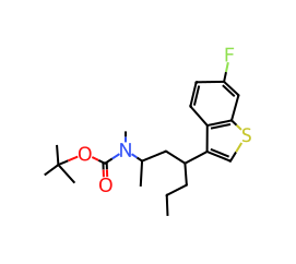 CCCC(CC(C)N(C)C(=O)OC(C)(C)C)c1csc2cc(F)ccc12